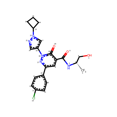 O=C(N[C@H](CO)C(F)(F)F)c1cc(-c2ccc(Cl)cc2)nn(-c2cnn(C3CCC3)c2)c1=O